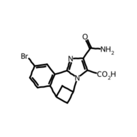 NC(=O)c1nc2n(c1C(=O)O)C1CC(C1)c1ccc(Br)cc1-2